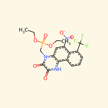 CCOP(=O)(Cn1c(=O)c(=O)[nH]c2c3cccc(C(F)(F)F)c3c([N+](=O)[O-])cc21)OCC